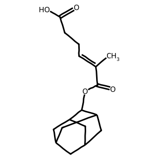 CC(=CCCC(=O)O)C(=O)OC1C2CC3CC(C2)CC1C3